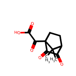 CC1(C)C2CCC1(C(=O)C(=O)O)C(=O)C2=O